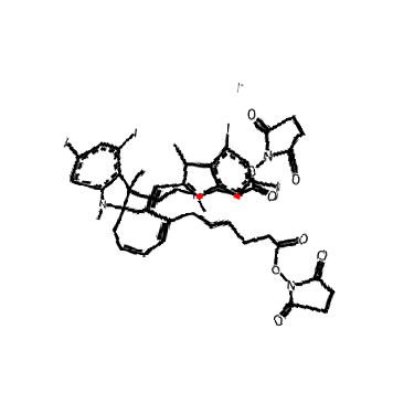 CC1C(C=C2C(CCCCCC(=O)ON3C(=O)CCC3=O)=CC=CCC23N(C)c2cc(I)cc(I)c2C3(C)CCCCCC(=O)ON2C(=O)CCC2=O)=[N+](C)c2cc(I)cc(I)c21.[I-]